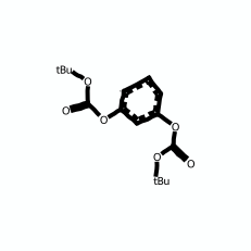 CC(C)(C)OC(=O)Oc1[c]ccc(OC(=O)OC(C)(C)C)c1